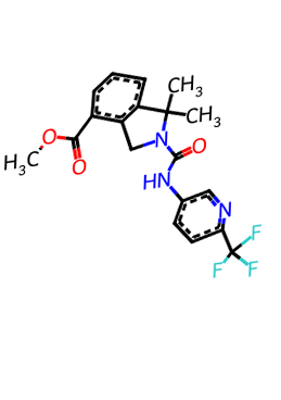 COC(=O)c1cccc2c1CN(C(=O)Nc1ccc(C(F)(F)F)nc1)C2(C)C